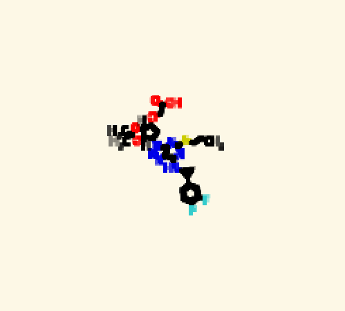 CCCSc1nc(N[C@@H]2C[C@H]2c2ccc(F)c(F)c2)c2nnn([C@@H]3C[C@H](OCC(=O)O)[C@H]4OC(C)(C)O[C@H]43)c2n1